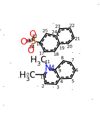 Cc1ccc2ccccc2[n+]1C.O=S(=O)([O-])c1ccc2ccccc2c1